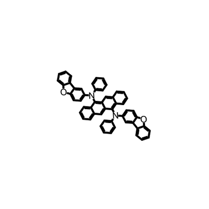 c1ccc(N(c2ccc3oc4ccccc4c3c2)c2c3ccccc3cc3c(N(c4ccccc4)c4ccc5oc6ccccc6c5c4)c4ccccc4cc23)cc1